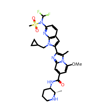 COc1cc(C(=O)N[C@@H]2CCCN[C@H]2C)cc2nc(-c3cc4ccc(N(C(F)F)S(C)(=O)=O)nc4n3CC3CC3)c(C)n12